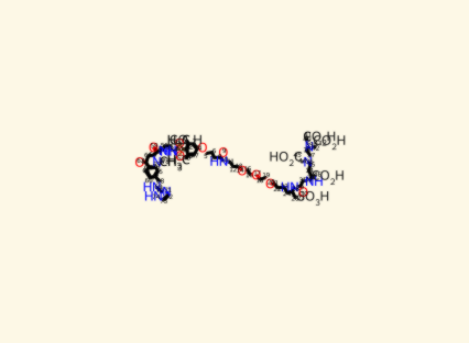 Cc1cc(OCCCC(=O)NCCCOCCOCCOCCCCC(CS(=O)(=O)O)NC(=O)CNC(CCN(CCN(CC(=O)O)CC(=O)O)CC(=O)O)C(=O)O)cc(C)c1S(=O)(=O)NC(CNC(=O)C1CC(=O)c2ccc(CNc3ncc[nH]3)cc2N1C)C(=O)O